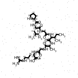 CC[C@H](C)[C@H](NC(=O)CNC(=O)[C@H](CC(C)C)NC(=O)[C@@H]1CCCN1)C(=O)N[C@@H](C)C(=O)NCC(=O)N[C@@H](CCCNC(=N)N)C(=O)O